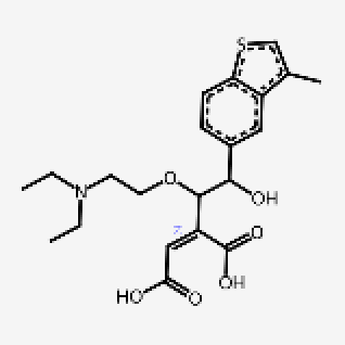 CCN(CC)CCOC(/C(=C/C(=O)O)C(=O)O)C(O)c1ccc2scc(C)c2c1